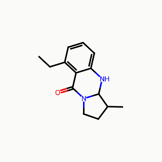 CCc1cccc2c1C(=O)N1CCC(C)C1N2